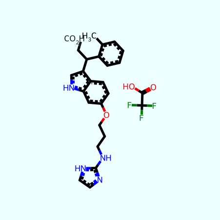 Cc1ccccc1C(CC(=O)O)c1c[nH]c2cc(OCCCNc3ncc[nH]3)ccc12.O=C(O)C(F)(F)F